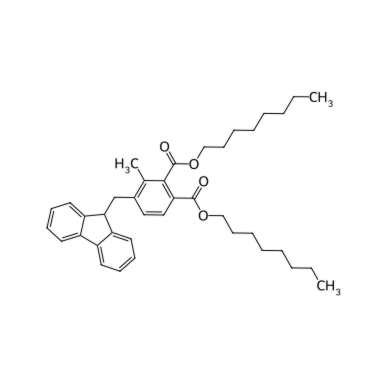 CCCCCCCCOC(=O)c1ccc(CC2c3ccccc3-c3ccccc32)c(C)c1C(=O)OCCCCCCCC